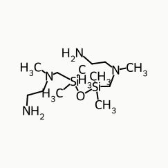 CN(CCN)C[Si](C)(C)O[Si](C)(C)CN(C)CCN